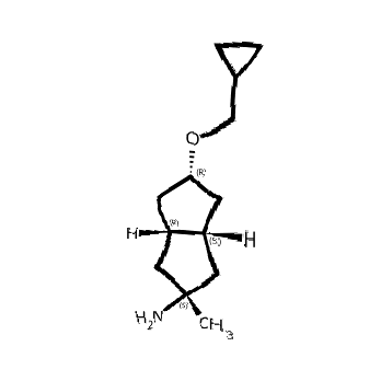 C[C@]1(N)C[C@H]2C[C@@H](OCC3CC3)C[C@H]2C1